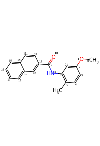 COc1ccc(C)c(NC(=O)c2ccc3ccccc3c2)c1